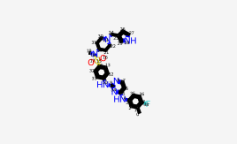 Cc1cc(Nc2ccnc(Nc3ccc(S(=O)(=O)N(C)C4CCN(Cc5cc[nH]c5)CC4)cc3)n2)ccc1F